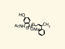 CO[As](=O)(OC/C=C(/C)c1ccccc1)c1ccc(O)cc1NC(C)=O